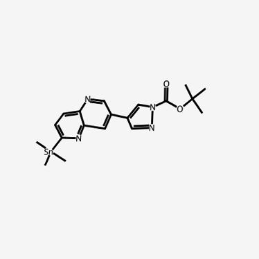 CC(C)(C)OC(=O)n1cc(-c2cnc3cc[c]([Sn]([CH3])([CH3])[CH3])nc3c2)cn1